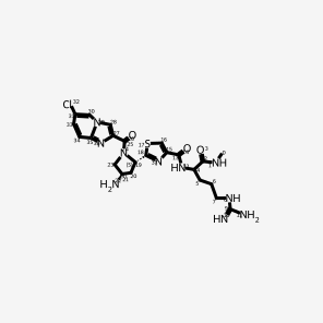 CNC(=O)C(CCCNC(=N)N)NC(=O)c1csc([C@@H]2C[C@@H](N)CN2C(=O)c2cn3cc(Cl)ccc3n2)n1